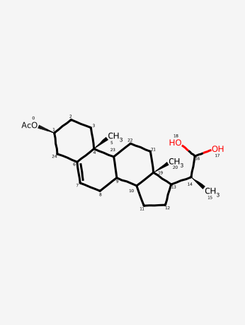 CC(=O)O[C@H]1CC[C@@]2(C)C(=CCC3C4CCC([C@H](C)C(O)O)[C@@]4(C)CCC32)C1